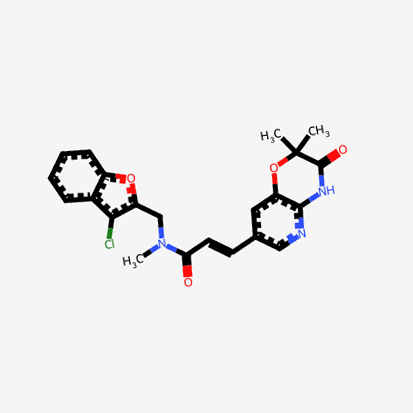 CN(Cc1oc2ccccc2c1Cl)C(=O)C=Cc1cnc2c(c1)OC(C)(C)C(=O)N2